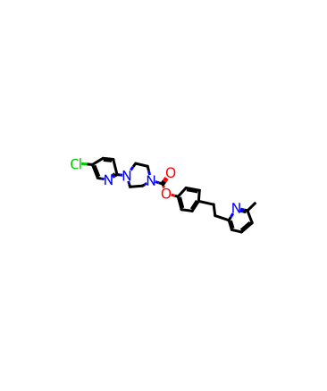 Cc1cccc(CCc2ccc(OC(=O)N3CCN(c4ccc(Cl)cn4)CC3)cc2)n1